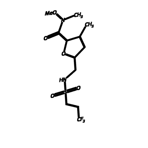 CON(C)C(=O)C1OC(CNS(=O)(=O)CCC(F)(F)F)CC1C